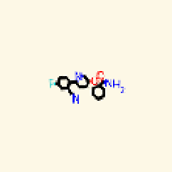 N#Cc1cc(F)ccc1-c1ccc(O[C@]2(C(N)=O)[CH]CCCC2)cn1